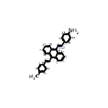 Cc1ccc(/C=C/c2c3ccccc3c(/C=C/c3ccc(N)cc3)c3ccccc23)cc1